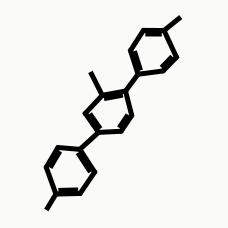 Cc1ccc(-c2ccc(-c3ccc(C)cc3)c(C)c2)cc1